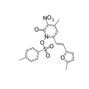 Cc1ccc(S(=O)(=O)On2c(C=Cc3ccc(C)o3)cc(C)c([N+](=O)[O-])c2=O)cc1